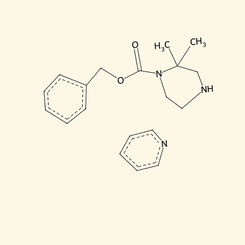 CC1(C)CNCCN1C(=O)OCc1ccccc1.c1ccncc1